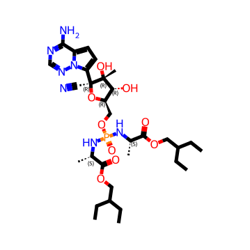 CCC(CC)COC(=O)[C@H](C)NP(=O)(N[C@@H](C)C(=O)OCC(CC)CC)OC[C@H]1O[C@@](C#N)(c2ccc3c(N)ncnn23)[C@](C)(O)[C@@H]1O